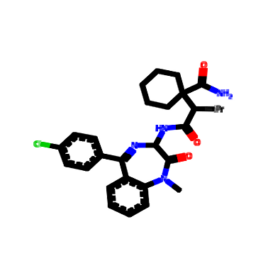 CC(C)C(C(=O)NC1N=C(c2ccc(Cl)cc2)c2ccccc2N(C)C1=O)C1(C(N)=O)CCCCC1